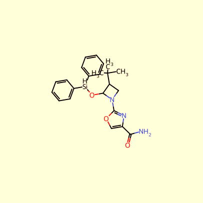 CC(C)(C)C1CN(c2nc(C(N)=O)co2)C1O[SiH](c1ccccc1)c1ccccc1